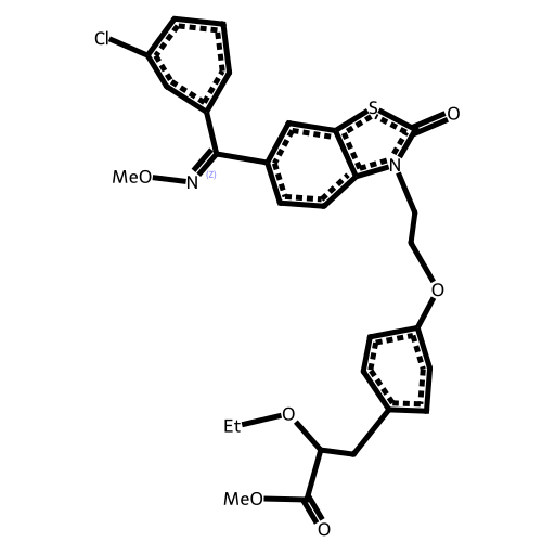 CCOC(Cc1ccc(OCCn2c(=O)sc3cc(/C(=N/OC)c4cccc(Cl)c4)ccc32)cc1)C(=O)OC